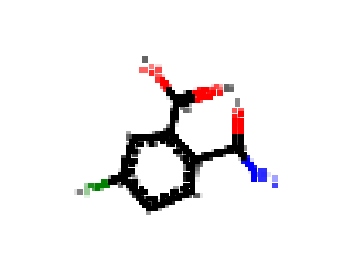 NC(=O)c1ccc(F)cc1C(=O)O